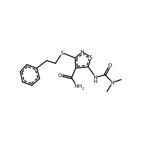 CN(C)C(=O)Nc1snc(SCCc2ccccc2)c1C(N)=O